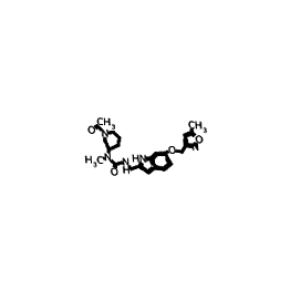 CC(=O)N1CCCC(N(C)C(=O)NCc2cc3ccc(OCc4cc(C)on4)cc3[nH]2)C1